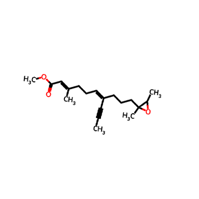 CC#C/C(=C\CC/C(C)=C/C(=O)OC)CCCC1(C)OC1C